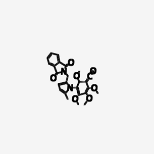 COC1=C(OC)C(OC)=C(n2c(C)ccc2CN2C(=O)c3ccccc3C2=O)C(OC)C1=C=O